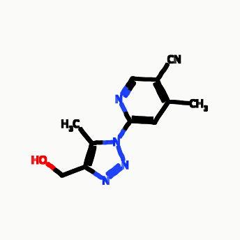 Cc1cc(-n2nnc(CO)c2C)ncc1C#N